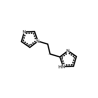 [CH](Cn1ccnc1)c1ncc[nH]1